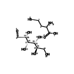 NC(CCS)C(=O)O.O=C[C@H](O)[C@@H](O)[C@H](O)[C@H](O)CO